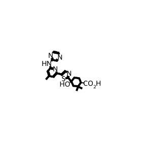 Cc1cc(Nc2cnccn2)nc(-c2cnc([C@]3(O)CC[C@@H](C(=O)O)C(C)(C)C3)s2)c1